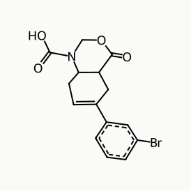 O=C1OCN(C(=O)O)C2CC=C(c3cccc(Br)c3)CC12